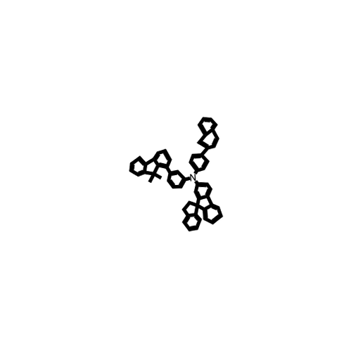 CC1(C)c2ccccc2-c2cccc(-c3cccc(N(c4ccc(-c5ccc6ccccc6c5)cc4)c4ccc5c(c4)C4(CCc6ccccc64)c4ccccc4-5)c3)c21